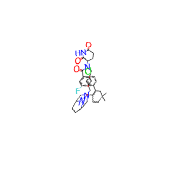 CC1(C)CCC(CN2C3CCC2CN(Cc2cc4c(cc2F)C(=O)N(C2CCC(=O)NC2=O)C4)C3)=C(c2ccc(Cl)cc2)C1